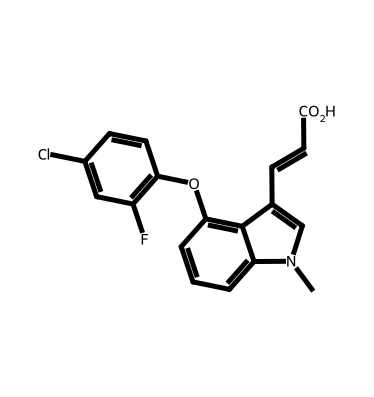 Cn1cc(C=CC(=O)O)c2c(Oc3ccc(Cl)cc3F)cccc21